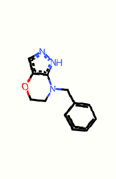 C1=C=CC(CN2CCOc3cn[nH]c32)=CC=1